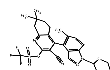 Cc1ccc2c(cnn2C2CCCCO2)c1-c1c(C#N)c(OS(=O)(=O)C(F)(F)F)nc2c1CCC(C)(C)C2